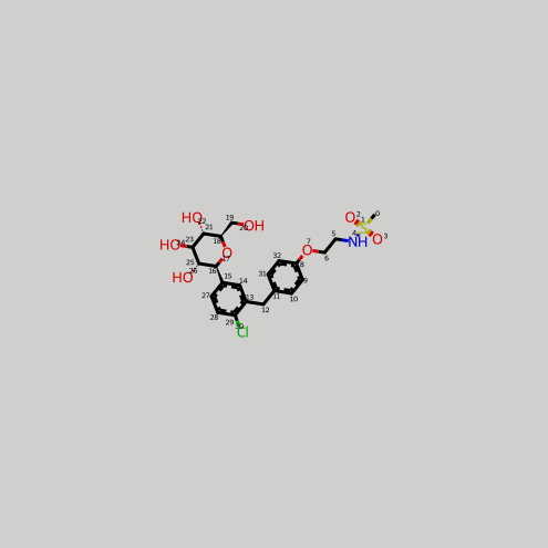 CS(=O)(=O)NCCOc1ccc(Cc2cc([C@@H]3O[C@H](CO)[C@@H](O)C(O)[C@H]3O)ccc2Cl)cc1